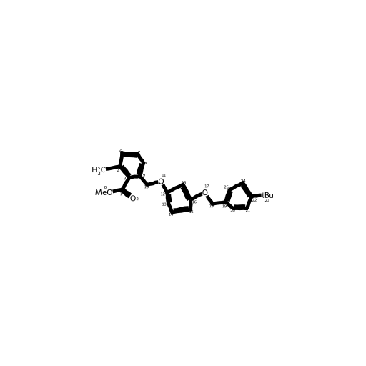 COC(=O)c1c(C)cccc1COc1cccc(OCc2ccc(C(C)(C)C)cc2)c1